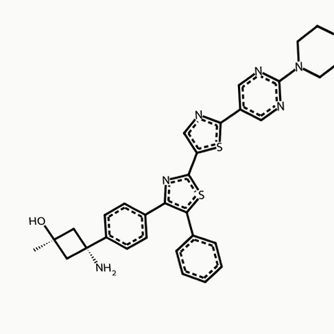 C[C@]1(O)C[C@@](N)(c2ccc(-c3nc(-c4cnc(-c5cnc(N6CCNCC6)nc5)s4)sc3-c3ccccc3)cc2)C1